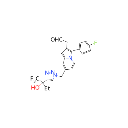 CCC(O)(c1cn(Cc2ccn3c(-c4ccc(F)cc4)c(CC=O)cc3c2)nn1)C(F)(F)F